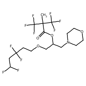 CC(C(=O)OC(COCCC(F)(F)CC(F)F)CN1CCOCC1)(C(F)(F)F)C(F)(F)F